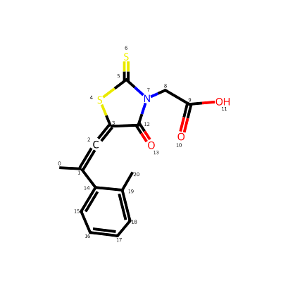 CC(=C=C1SC(=S)N(CC(=O)O)C1=O)c1ccccc1C